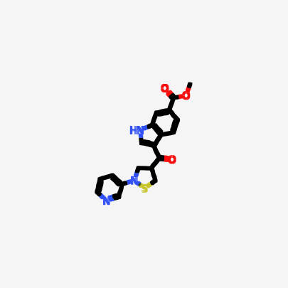 COC(=O)c1ccc2c(C(=O)C3CSN(c4cccnc4)C3)c[nH]c2c1